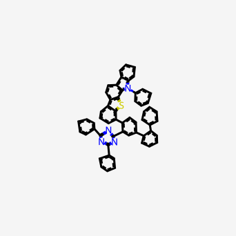 c1ccc(-c2nc(-c3ccccc3)nc(-c3cc(-c4ccccc4-c4ccccc4)ccc3-c3cccc4c3sc3c4ccc4c5ccccc5n(-c5ccccc5)c43)n2)cc1